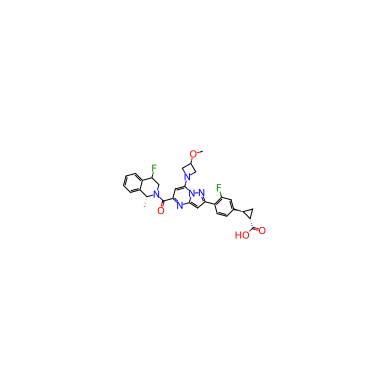 COC1CN(c2cc(C(=O)N3CC(F)c4ccccc4[C@H]3C)nc3cc(-c4ccc([C@H]5C[C@@H]5C(=O)O)cc4F)nn23)C1